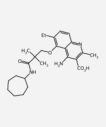 CCc1ccc2nc(C)c(C(=O)O)c(N)c2c1OCC(C)(C)C(=O)NC1CCCCCC1